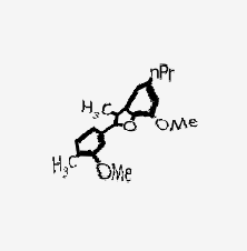 CCCc1cc(OC)c2c(c1)C(C)C(c1ccc(C)c(OC)c1)O2